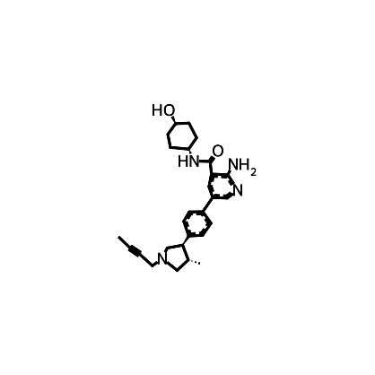 CC#CCN1C[C@@H](C)[C@H](c2ccc(-c3cnc(N)c(C(=O)N[C@H]4CC[C@H](O)CC4)c3)cc2)C1